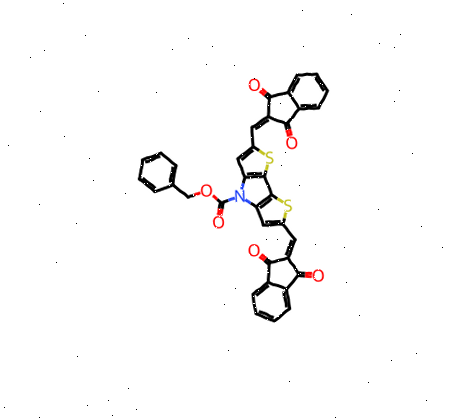 O=C1C(=Cc2cc3c(s2)c2sc(C=C4C(=O)c5ccccc5C4=O)cc2n3C(=O)OCc2ccccc2)C(=O)c2ccccc21